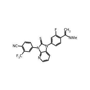 C=C(NC)c1ccc(-n2c(=S)n(-c3ccc(C#N)c(C(F)(F)F)c3)c3ncccc32)cc1F